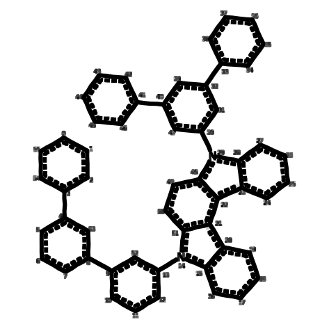 c1ccc(-c2cccc(-c3cccc(-n4c5ccccc5c5c6c7ccccc7n(-c7cc(-c8ccccc8)cc(-c8ccccc8)c7)c6ccc54)c3)c2)cc1